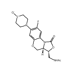 CC(=O)NC[C@@H]1OC(=O)N2c3cc(F)c(N4CC[S+]([O-])CC4)cc3OC[C@@H]12